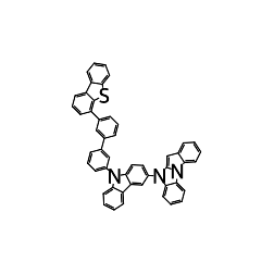 c1cc(-c2cccc(-n3c4ccccc4c4cc(-n5c6ccccc6n6c7ccccc7cc56)ccc43)c2)cc(-c2cccc3c2sc2ccccc23)c1